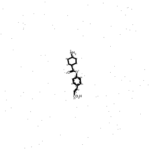 NC1CCC(C(=O)Oc2ccc(C=CC(=O)O)cc2)CC1